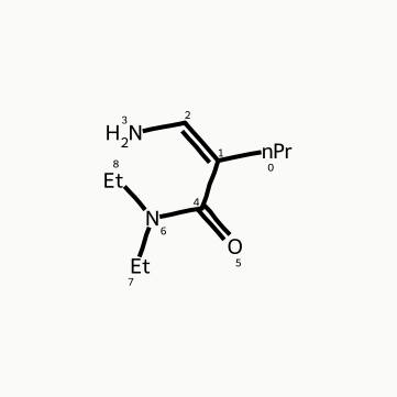 CCCC(=CN)C(=O)N(CC)CC